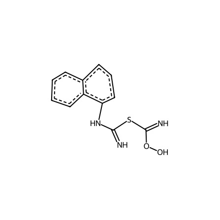 N=C(Nc1cccc2ccccc12)SC(=N)OO